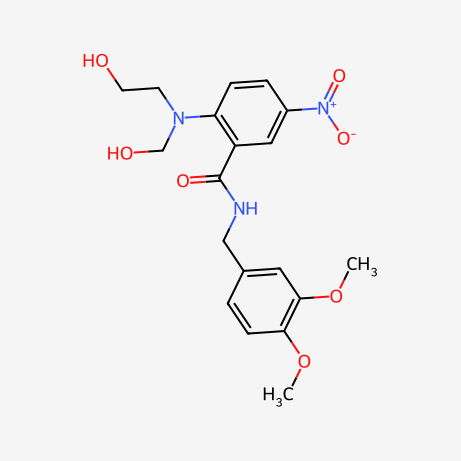 COc1ccc(CNC(=O)c2cc([N+](=O)[O-])ccc2N(CO)CCO)cc1OC